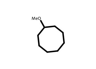 [CH2]OC1CCCCCCC1